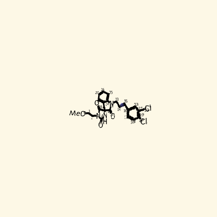 COCCN1C(=O)NC2(C1=O)C(=O)N(C/C=C/c1ccc(Cl)c(Cl)c1)c1ccccc12